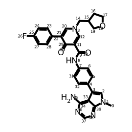 Cn1cc(-c2ccc(NC(=O)c3cn(CC4CCOC4)cc(-c4ccc(F)cc4)c3=O)cc2)c2c(N)ncnc21